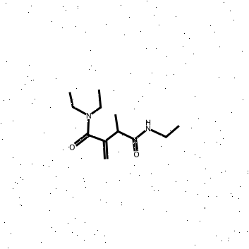 C=C(C(=O)N(CC)CC)C(C)C(=O)NCC